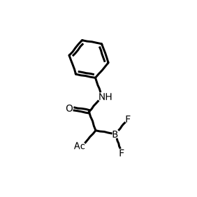 CC(=O)C(B(F)F)C(=O)Nc1ccccc1